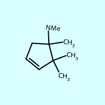 CNC1(C)CC=CC1(C)C